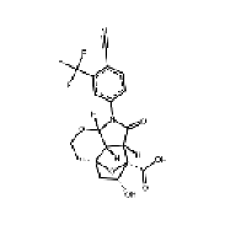 N#Cc1ccc(N2C(=O)[C@H]3[C@H]4[C@@H]2OCC[C@]42C[C@@H](O)[C@@]3(C(=O)O)O2)cc1C(F)(F)F